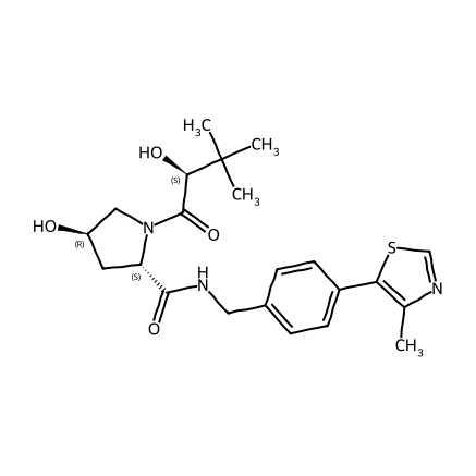 Cc1ncsc1-c1ccc(CNC(=O)[C@@H]2C[C@@H](O)CN2C(=O)[C@@H](O)C(C)(C)C)cc1